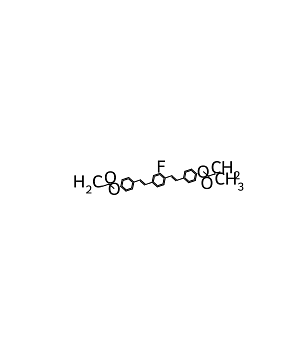 C=CC(=O)Oc1ccc(/C=C/c2ccc(/C=C/c3ccc(OC(=O)C(=C)C)cc3)c(F)c2)cc1